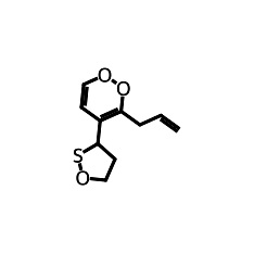 C=CCC1=C(C2CCOS2)C=COO1